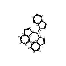 C1=C[CH]([Al]([CH]2C=Cc3ccccc32)[CH]2C=Cc3ccccc32)c2ccccc21